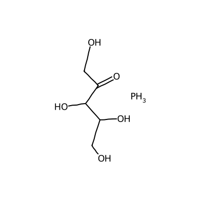 O=C(CO)C(O)C(O)CO.P